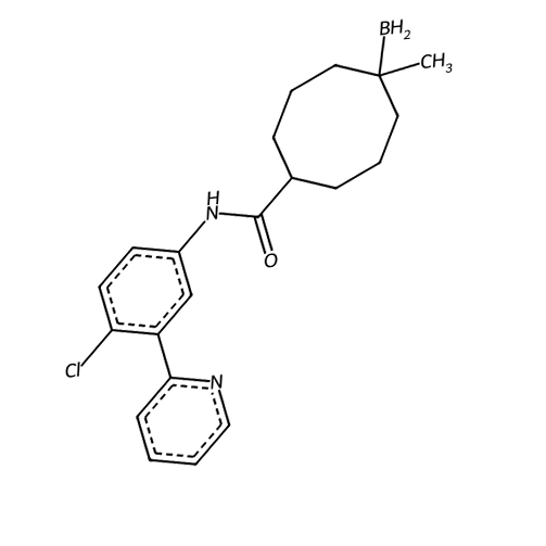 BC1(C)CCCC(C(=O)Nc2ccc(Cl)c(-c3ccccn3)c2)CCC1